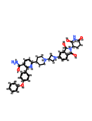 NC(=O)c1ccc(C2CCN(C3CN(c4ccc5c(c4)C(=O)N(C4CCC(=O)NC4=O)C5=O)C3)CC2)nc1-c1ccc(Oc2ccccc2)cc1